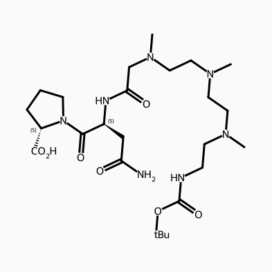 CN(CCNC(=O)OC(C)(C)C)CCN(C)CCN(C)CC(=O)N[C@@H](CC(N)=O)C(=O)N1CCC[C@H]1C(=O)O